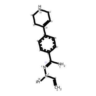 C=CN(/N=C(\N)c1ccc(C2=CCNCC2)cc1)C(C)C